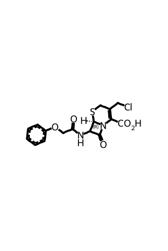 O=C(COc1ccccc1)NC1C(=O)N2C(C(=O)O)=C(CCl)CS[C@H]12